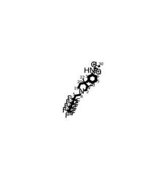 C[C@H]1CN(CCC(F)(F)C(F)(F)C(F)(F)C(F)(F)F)CC[C@]1(C)c1cccc(NS(C)(=O)=O)c1